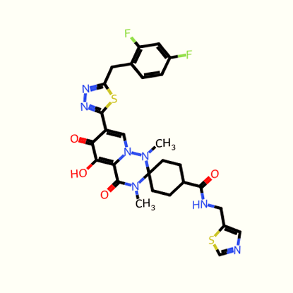 CN1C(=O)c2c(O)c(=O)c(-c3nnc(Cc4ccc(F)cc4F)s3)cn2N(C)C12CCC(C(=O)NCc1cncs1)CC2